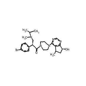 CC1C[C@H](O)c2ncnc(N3CCN(C(=O)[C@H](CN(C)C(C)C)c4ccc(Br)cc4)CC3)c21